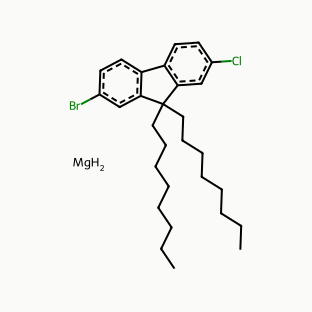 CCCCCCCCC1(CCCCCCCC)c2cc(Cl)ccc2-c2ccc(Br)cc21.[MgH2]